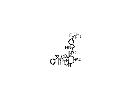 CC(=O)N1CC[C@H]2CC[C@@H](C(=O)NC3(c4ccccc4)CC3)N2C(=O)[C@@H](NC(=O)c2cc3cc(C(C)(F)F)ccc3[nH]2)C1